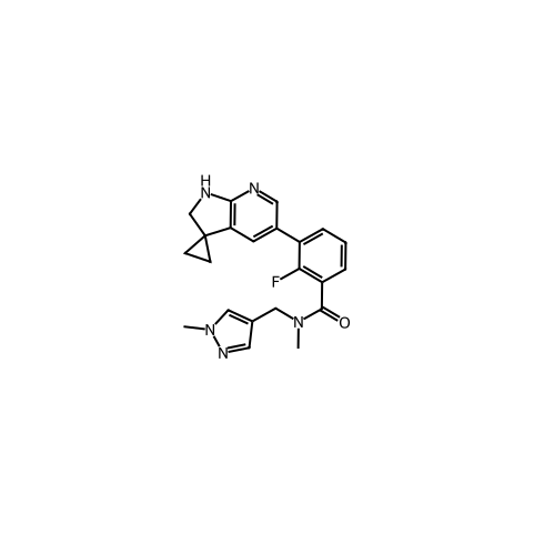 CN(Cc1cnn(C)c1)C(=O)c1cccc(-c2cnc3c(c2)C2(CC2)CN3)c1F